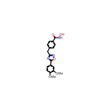 COc1ccc(-c2nc(Cc3ccc(C(=O)NO)cc3)no2)cc1OC